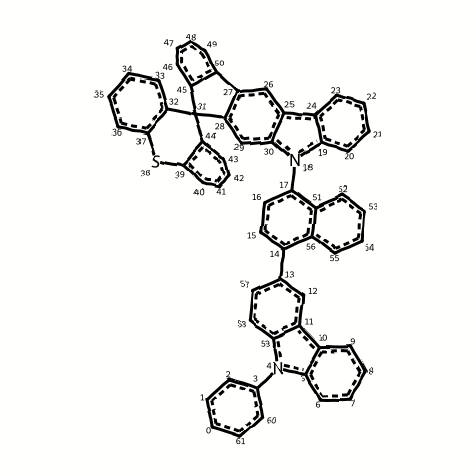 c1ccc(-n2c3ccccc3c3cc(-c4ccc(-n5c6ccccc6c6cc7c(cc65)C5(c6ccccc6Sc6ccccc65)c5ccccc5-7)c5ccccc45)ccc32)cc1